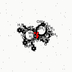 COc1cc2cc(c1Cl)N(C)C(=O)C[C@H](OC(=O)[C@H](C)N(C)C(=O)CCSC1CC(=O)N(CCCNC(=O)[C@@H](NC(=O)[C@@H]3CSSC[C@H](NC(=O)[C@H](N)Cc4ccccc4)C(=O)N[C@@H](Cc4ccc(O)cc4)C(=O)N[C@H](Cc4c[nH]c5ccccc45)C(=O)N[C@@H](CCCCN)C(=O)N[C@@H]([C@@H](C)O)C(=O)N3)[C@@H](C)O)C1=O)[C@]1(C)O[C@H]1[C@H](C)[C@@H]1C[C@@](O)(NC(=O)O1)[C@H](OC)/C=C/C=C(\C)C2